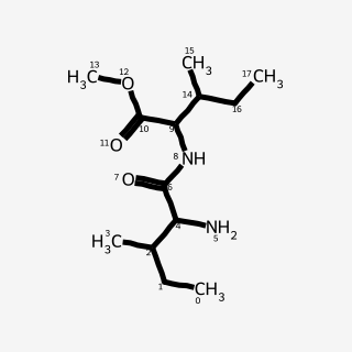 CCC(C)C(N)C(=O)NC(C(=O)OC)C(C)CC